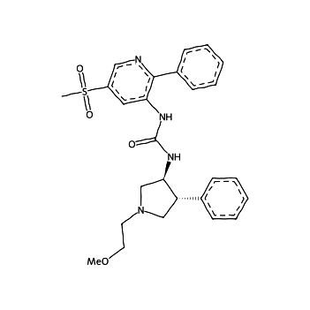 COCCN1C[C@@H](NC(=O)Nc2cc(S(C)(=O)=O)cnc2-c2ccccc2)[C@H](c2ccccc2)C1